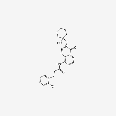 O=C(CCc1ccccc1Cl)Nc1cccc2c(=O)n(CC3(O)CCCCC3)ccc12